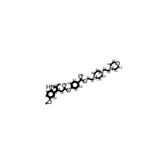 COc1ccc2[nH]c(C)c(CC(=O)Oc3ccc(C(=O)OCCN4CCN(CCN5CCOCC5)CC4)cc3)c2c1